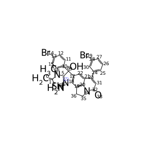 C=C(S)N(C)/C(=N\N)C(O)(c1ccc(Br)cc1)c1cc2c3c(c1)c(-c1cccc(Br)c1)cc(=O)n3CC2